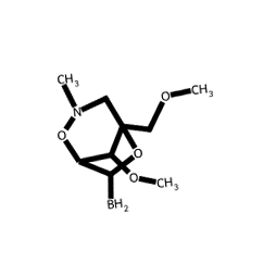 BC1OC2(COC)CN(C)OC1C2OC